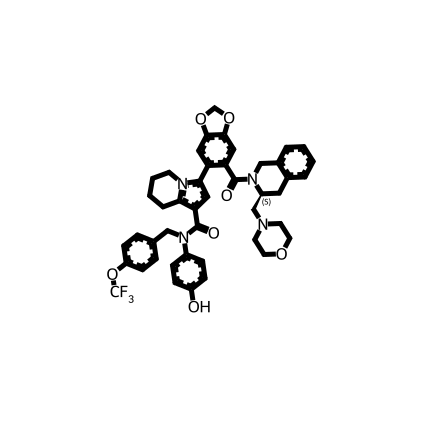 O=C(c1cc(-c2cc3c(cc2C(=O)N2Cc4ccccc4C[C@H]2CN2CCOCC2)OCO3)n2c1CCCC2)N(Cc1ccc(OC(F)(F)F)cc1)c1ccc(O)cc1